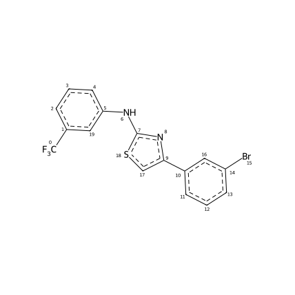 FC(F)(F)c1cccc(Nc2nc(-c3cccc(Br)c3)cs2)c1